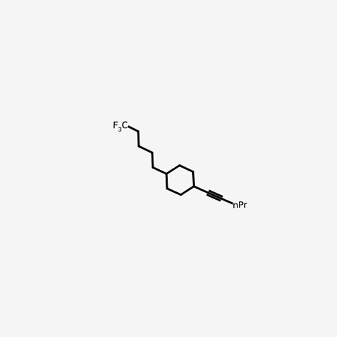 CCCC#CC1CCC(CCCCC(F)(F)F)CC1